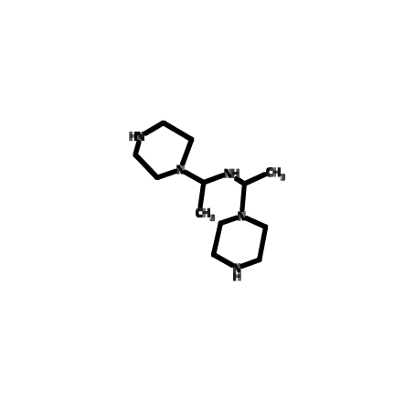 CC(NC(C)N1CCNCC1)N1CCNCC1